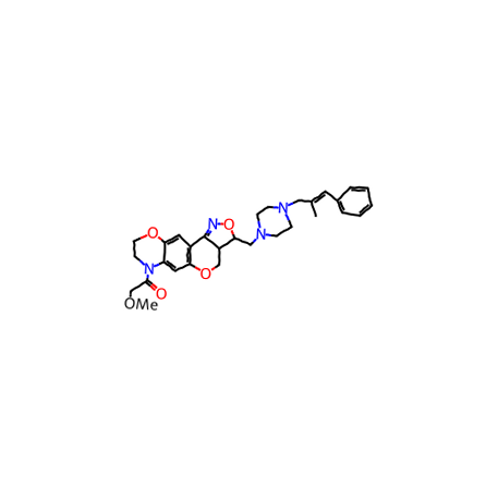 COCC(=O)N1CCOc2cc3c(cc21)OCC1C3=NOC1CN1CCN(C/C(C)=C/c2ccccc2)CC1